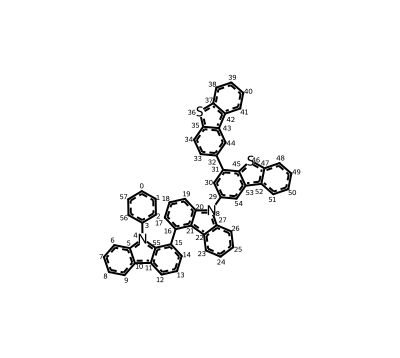 c1ccc(-n2c3ccccc3c3cccc(-c4cccc5c4c4ccccc4n5-c4cc(-c5ccc6sc7ccccc7c6c5)c5sc6ccccc6c5c4)c32)cc1